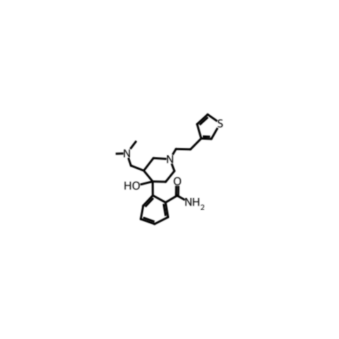 CN(C)CC1CN(CCc2ccsc2)CCC1(O)c1ccccc1C(N)=O